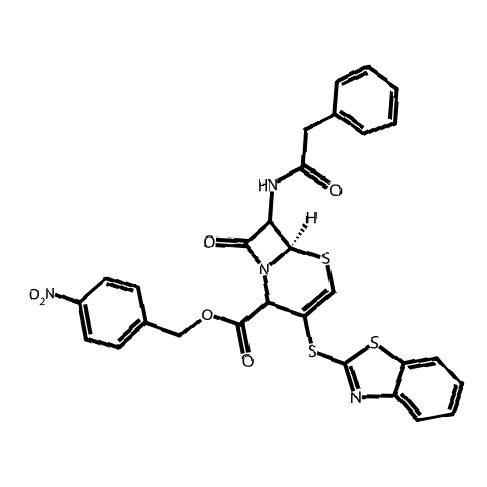 O=C(Cc1ccccc1)NC1C(=O)N2C(C(=O)OCc3ccc([N+](=O)[O-])cc3)C(Sc3nc4ccccc4s3)=CS[C@H]12